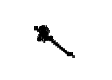 CCCCCCCCCCCCCCCCCCCC(=O)NCc1ccc(Cn2c(CCCC)nc3c(NC(C)(C)C)nc4ccccc4c32)cc1